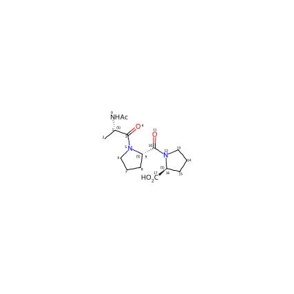 CC(=O)N[C@@H](C)C(=O)N1CCC[C@H]1C(=O)N1CCC[C@H]1C(=O)O